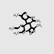 C=C/N=C(\C=C/C)C1=C(c2c(C)noc2C)C(=C)Nc2ccc(C)cc21